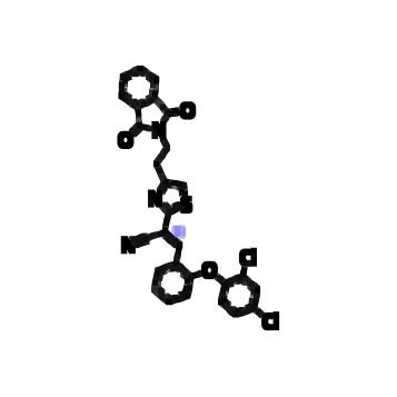 N#C/C(=C\c1ccccc1Oc1ccc(Cl)cc1Cl)c1nc(CCN2C(=O)c3ccccc3C2=O)cs1